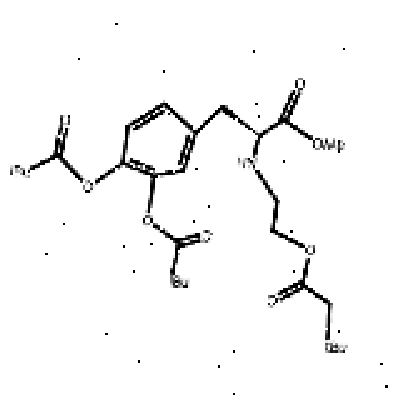 CCC(C)C(=O)Oc1ccc(C[C@H](NCCOC(=O)CC(C)(C)C)C(=O)OC)cc1OC(=O)C(C)CC